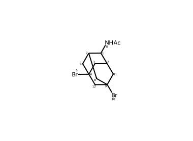 CC(=O)NC1C2CC3(Br)CC1CC(Br)(C2)C3